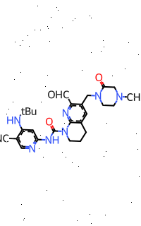 CN1CCN(Cc2cc3c(nc2C=O)N(C(=O)Nc2cc(NC(C)(C)C)c(C#N)cn2)CCC3)C(=O)C1